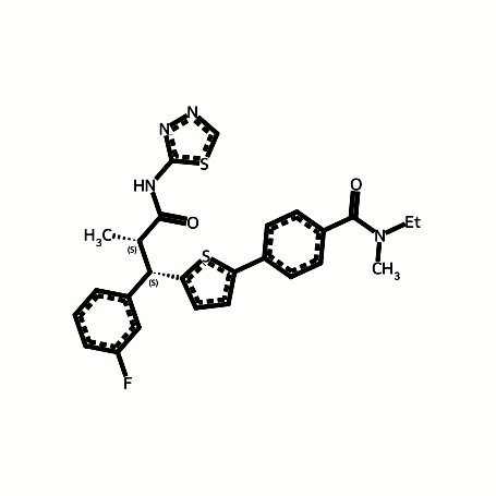 CCN(C)C(=O)c1ccc(-c2ccc([C@H](c3cccc(F)c3)[C@H](C)C(=O)Nc3nncs3)s2)cc1